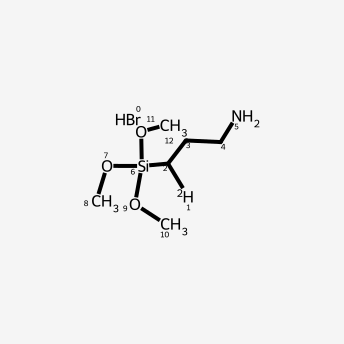 Br.[2H]C(CCN)[Si](OC)(OC)OC